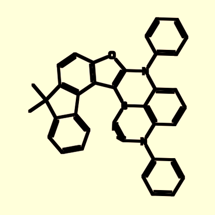 CC1(C)c2ccccc2-c2c1ccc1oc3c(c21)B1c2ccccc2N(c2ccccc2)c2cccc(c21)N3c1ccccc1